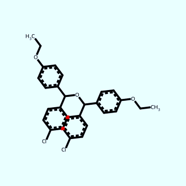 CCOc1ccc(C(OC(c2ccc(Cl)cc2)c2ccc(OCC)cc2)c2ccc(Cl)cc2)cc1